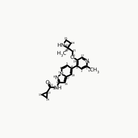 Cc1cc(-c2ccn3nc(NC(=O)C4CC4)cc3c2)c(OC[C@]2(C)CCN2)cn1